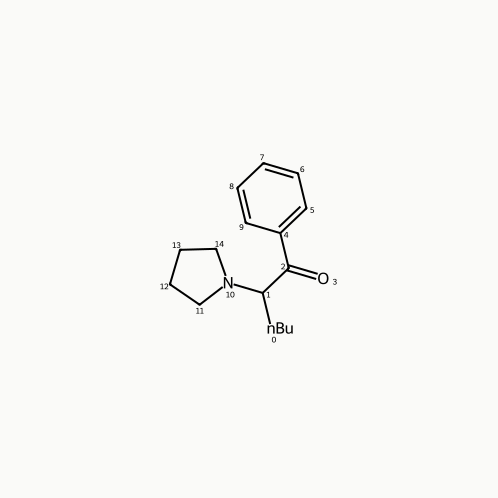 CCCCC(C(=O)c1ccccc1)N1CCCC1